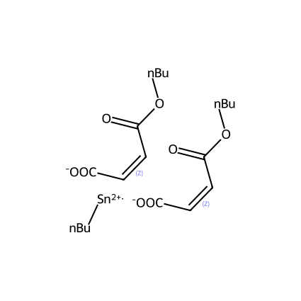 CCCCOC(=O)/C=C\C(=O)[O-].CCCCOC(=O)/C=C\C(=O)[O-].CCC[CH2][Sn+2]